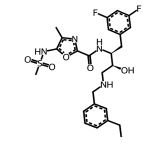 CCc1cccc(CNC[C@H](O)[C@H](Cc2cc(F)cc(F)c2)NC(=O)c2nc(C)c(NS(C)(=O)=O)o2)c1